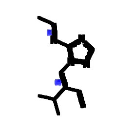 C=C/C(=C\n1ncnc1/N=C/C)C(C)C